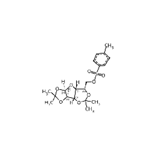 Cc1ccc(S(=O)(=O)OC[C@H]2OC(C)(C)O[C@@H]3[C@H]4OC(C)(C)O[C@H]4O[C@@H]32)cc1